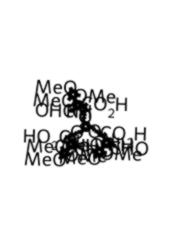 COc1cc(OC)c(-c2cc(NC=O)nc(C(CCOCc3cc(COCCC(C(=O)O)c4cc(-c5c(OC)cc(OC)cc5OC)cc(NC=O)n4)cc(COCCC(C(=O)O)c4cc(-c5c(OC)cc(OC)cc5OC)cc(NC=O)n4)c3)C(=O)O)c2)c(OC)c1